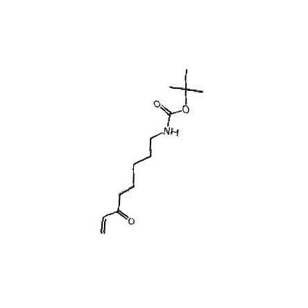 C=CC(=O)CCCCCNC(=O)OC(C)(C)C